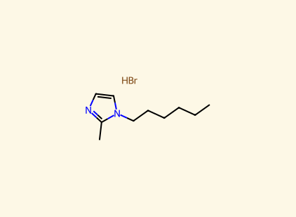 Br.CCCCCCn1ccnc1C